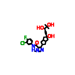 Cn1cnc(C2CC3CC(O)(C#CC(O)C(C)(C)O)CC3C2)c1C(=O)Nc1ccc(F)c(Cl)c1